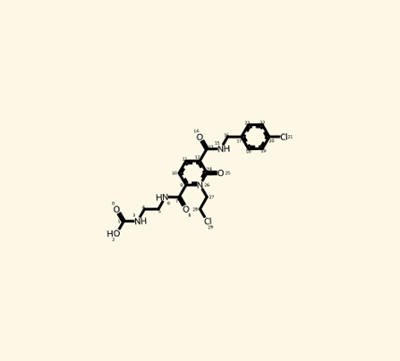 O=C(O)NCCNC(=O)c1ccc(C(=O)NCc2ccc(Cl)cc2)c(=O)n1CCCl